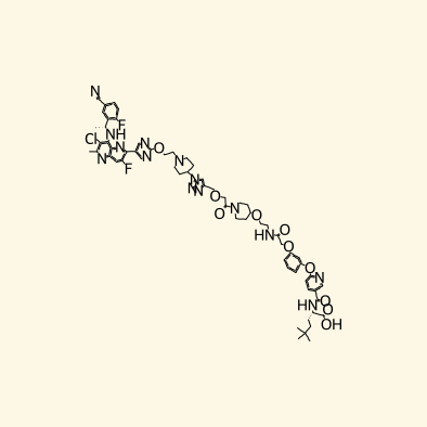 Cc1nc2cc(F)c(-c3cnc(OCCN4CCC(n5cc(COCC(=O)N6CCC(OCCNC(=O)COc7cccc(Oc8ccc(C(=O)N[C@@H](CCC(C)(C)C)C(=O)O)cn8)c7)CC6)nn5)CC4)nc3)nc2c(N[C@H](C)c2cc(C#N)ccc2F)c1Cl